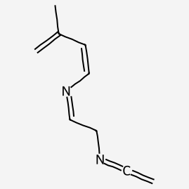 C=C=NC/C=N\C=C/C(=C)C